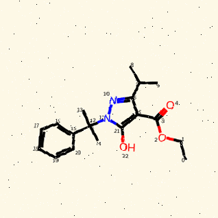 CCOC(=O)c1c(C(C)C)nn(C(C)(C)c2ccccc2)c1O